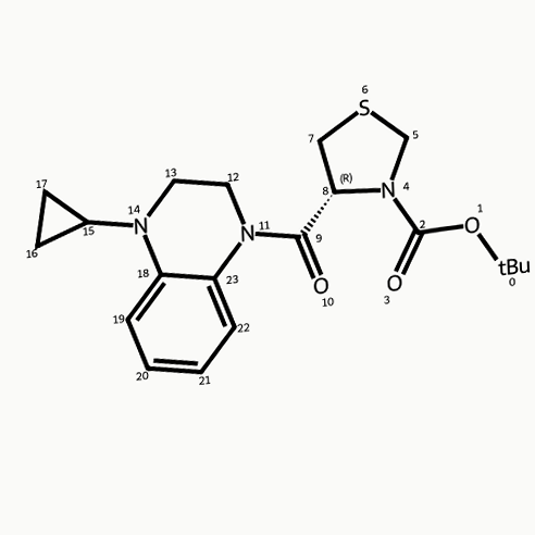 CC(C)(C)OC(=O)N1CSC[C@H]1C(=O)N1CCN(C2CC2)c2ccccc21